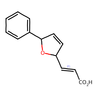 O=C(O)/C=C/C1C=CC(c2ccccc2)O1